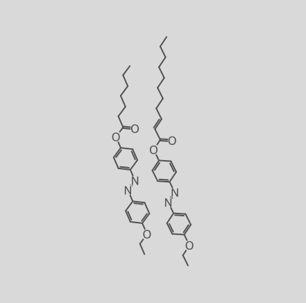 CCCCCCC(=O)Oc1ccc(N=Nc2ccc(OCC)cc2)cc1.CCCCCCCCC=CC(=O)Oc1ccc(N=Nc2ccc(OCC)cc2)cc1